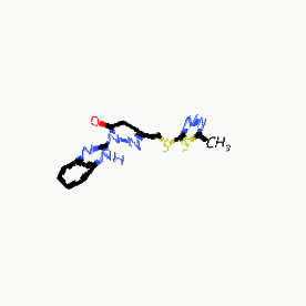 Cc1nnc(SCC2=NN(c3nc4ccccc4[nH]3)C(=O)C2)s1